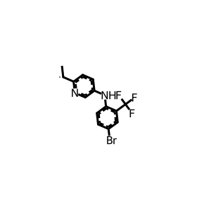 C[CH]c1ccc(Nc2ccc(Br)cc2C(F)(F)F)cn1